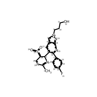 CC1=NC(c2cc3cn(CCCO)nc3nc2-c2ccc(F)cc2)C(=S(=O)=O)C=N1